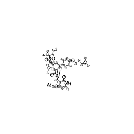 C=CCC1(S(=O)(=O)n2cc(C)c3c(C(=O)NCc4c(OC)cc(C)[nH]c4=O)cc(-c4ccc(OCCCN(C)C)cc4)cc32)CC1